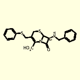 O=C(O)C1=C(CSc2ccccc2)CSC2[C@@H](NCc3ccccc3)C(=O)N12